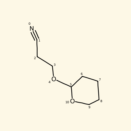 N#CCCOC1CCCCO1